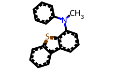 CN(c1ccccc1)c1cccc2c1sc1ccccc12